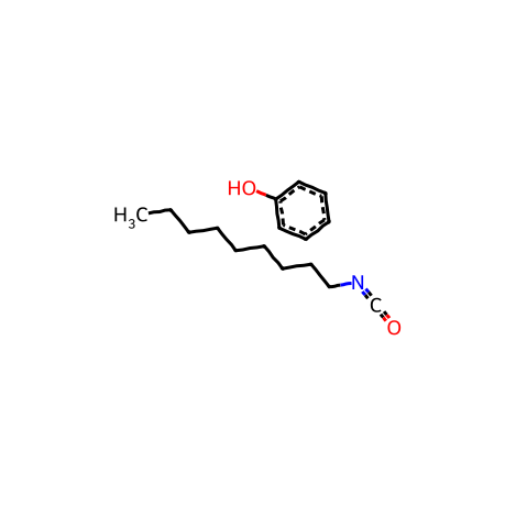 CCCCCCCCCN=C=O.Oc1ccccc1